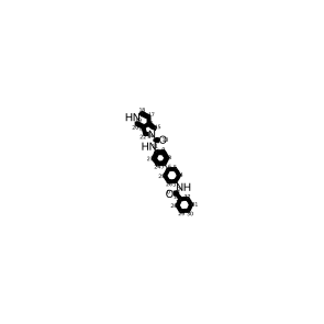 O=C(N[C@H]1CC[C@@H](c2ccc(NC(=O)N3C=C4C=CNC=C4C3)cc2)CC1)C1CCCCC1